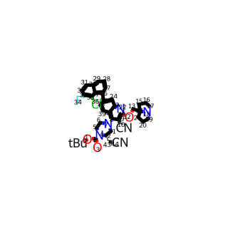 CC(C)(C)OC(=O)N1CCN(c2c(C#N)c(OCC34CCCN3CCC4)nc3cc(-c4cccc5ccc(F)c(Cl)c45)ccc23)C[C@@H]1CC#N